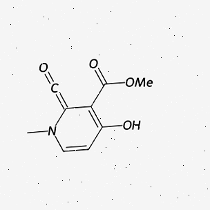 COC(=O)C1=C(O)C=CN(C)C1=C=O